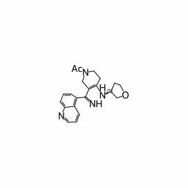 CC(=O)N1CCC(N[C@H]2CCOC2)=C(C(=N)c2cccc3ncccc23)C1